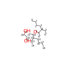 CCCCC(CC)C(C)OC(C)C(CC)CCCC.OCCO